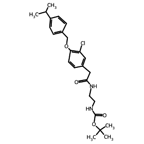 CC(C)c1ccc(COc2ccc(CC(=O)NCCNC(=O)OC(C)(C)C)cc2Cl)cc1